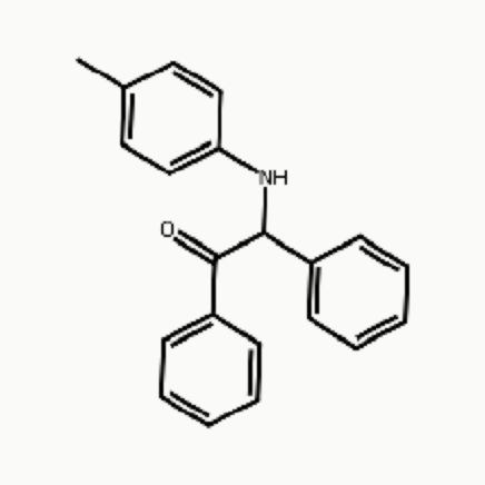 Cc1ccc(NC(C(=O)c2ccccc2)c2ccccc2)cc1